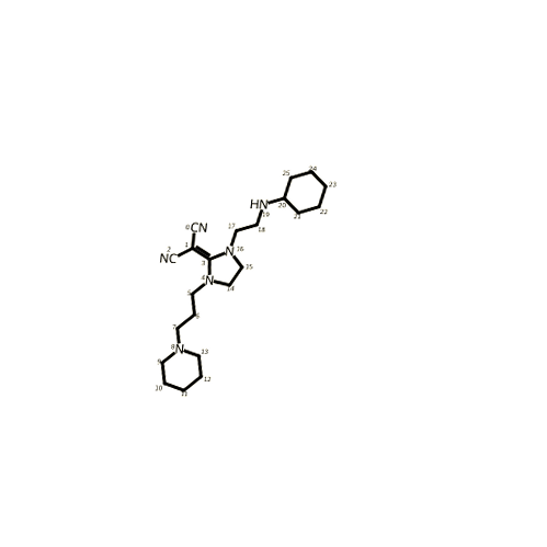 N#CC(C#N)=C1N(CCCN2CCCCC2)CCN1CCNC1CCCCC1